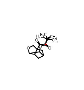 C=C(C)C(=O)OC1C2CC3C1OCC3(C(=O)OC(C(F)(F)F)C(F)(F)F)C2